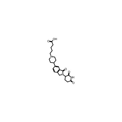 O=C(O)CCCCN1CCC(c2ccc3c(c2)C(=O)N(C2CCC(=O)NC2=O)C3)CC1